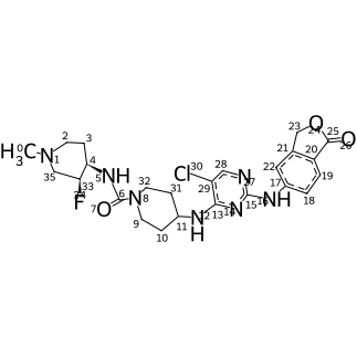 CN1CC[C@@H](NC(=O)N2CCC(Nc3nc(Nc4ccc5c(c4)COC5=O)ncc3Cl)CC2)[C@@H](F)C1